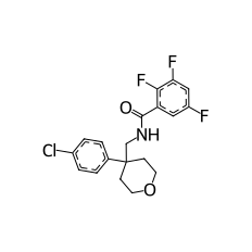 O=C(NCC1(c2ccc(Cl)cc2)CCOCC1)c1cc(F)cc(F)c1F